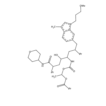 COCCCn1cc(C)c2ccc(CC(CC(NC(=O)OC(C)OC(=O)C(C)C)C(O)CC(C(=O)NC3CCOCC3)C(C)C)C(C)C)cc21